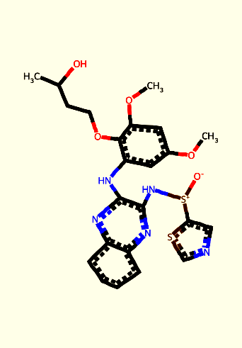 COc1cc(Nc2nc3ccccc3nc2N[S+]([O-])c2cncs2)c(OCCC(C)O)c(OC)c1